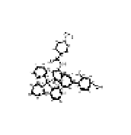 CN1CCC(C(=O)Nc2nn(C(c3ccccc3)(c3ccccc3)c3ccccc3)c3ccc(-c4ccc(O)cc4Cl)cc23)CC1